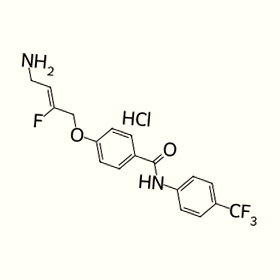 Cl.NC/C=C(\F)COc1ccc(C(=O)Nc2ccc(C(F)(F)F)cc2)cc1